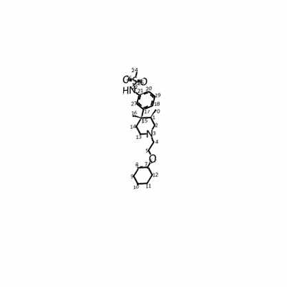 C[C@H]1CN(CCOC2CCCCC2)CC[C@]1(C)c1cccc(NS(C)(=O)=O)c1